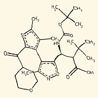 Cc1noc([C@@H](NC(=O)OC(C)(C)C)C(C(=O)O)C(C)(C)C)c1-c1c(C(=O)C2CCOCC2)sc(C)c1C